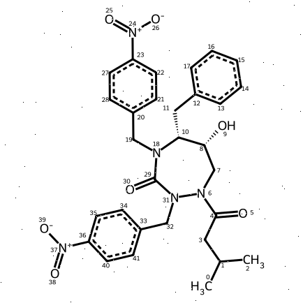 CC(C)CC(=O)N1C[C@@H](O)[C@@H](Cc2ccccc2)N(Cc2ccc([N+](=O)[O-])cc2)C(=O)N1Cc1ccc([N+](=O)[O-])cc1